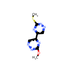 COc1nncc(-c2cnnc(SC)n2)n1